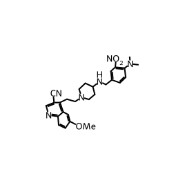 COc1ccc2ncc(C#N)c(CCN3CCC(NCc4ccc(N(C)C)c([N+](=O)[O-])c4)CC3)c2c1